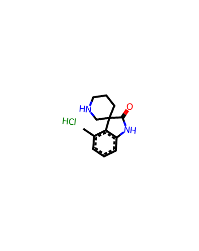 Cc1cccc2c1C1(CCCNC1)C(=O)N2.Cl